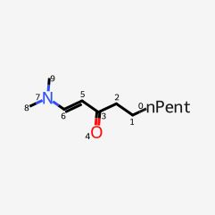 CCCCCCCC(=O)C=CN(C)C